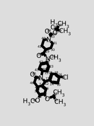 COc1cc2c(cc1OC(C)C)C(c1ccc(Cl)cc1)N(c1ccc(N(C)C(=O)C3CCN(C(=O)OC(C)(C)C)CC3)cc1)C(=O)C2